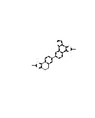 Cc1nc2c([nH]1)-c1ccc(-c3ccc4c(c3)c3sccc3c3nc(C)[nH]c43)cc1CC2